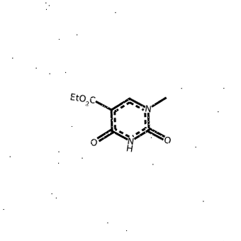 CCOC(=O)c1cn(C)c(=O)[nH]c1=O